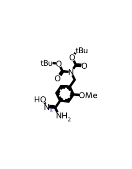 COc1cc(/C(N)=N\O)ccc1CN(C(=O)OC(C)(C)C)C(=O)OC(C)(C)C